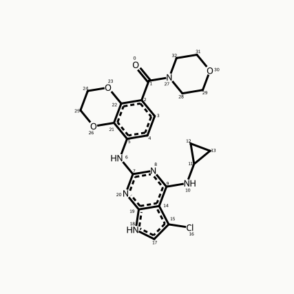 O=C(c1ccc(Nc2nc(NC3CC3)c3c(Cl)c[nH]c3n2)c2c1OCCO2)N1CCOCC1